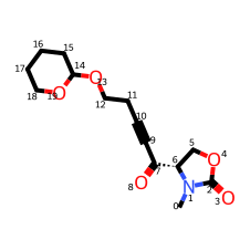 CN1C(=O)OC[C@H]1C(=O)C#CCCOC1CCCCO1